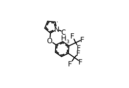 Cn1[c]ccc1Oc1ccc(C(F)(F)F)c(C(F)(F)F)c1